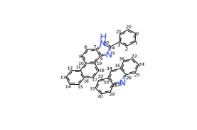 c1ccc(-c2nc3c(ccc4c5ccccc5ccc43)[nH]2)cc1.c1ccc2nc3ccccc3cc2c1